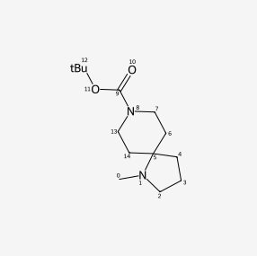 CN1CCCC12CCN(C(=O)OC(C)(C)C)CC2